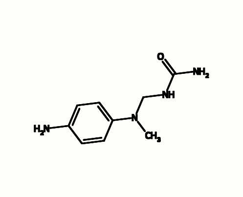 CN(CNC(N)=O)c1ccc(N)cc1